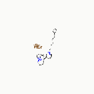 Br.CN1CCCC1c1ccc[n+](CCCCCCC2CCC2)c1.[Br-]